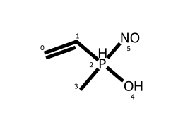 C=C[PH](C)(O)N=O